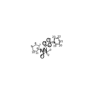 CC1(C)C(=O)N(C2CCCCC2)N1C(=O)OC(=O)c1ccccc1